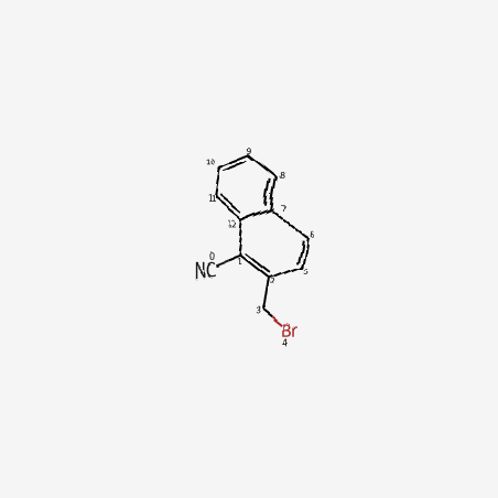 N#Cc1c(CBr)ccc2ccccc12